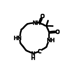 CC1(C)C(=O)NCCNCCNCCNC1=O